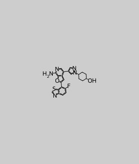 Nc1ncc(-c2cnn(C3CCC(O)CC3)c2)c2cc(-c3c(F)ccc4ncsc34)oc12